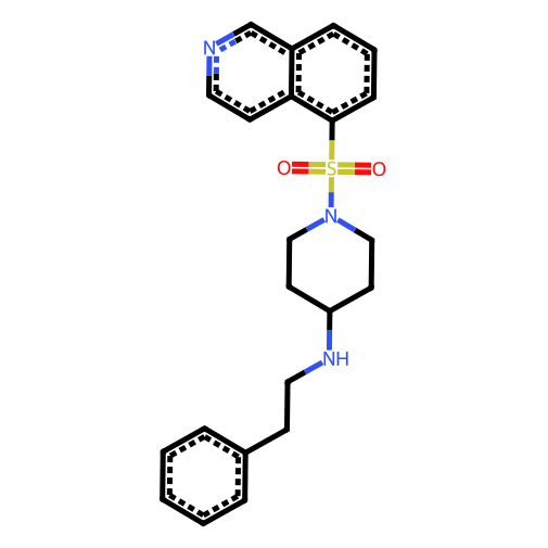 O=S(=O)(c1cccc2cnccc12)N1CCC(NCCc2ccccc2)CC1